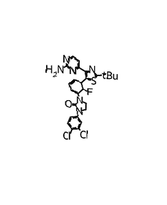 CC(C)(C)c1nc(-c2ccnc(N)n2)c(C2C=CC=C(N3CCN(c4ccc(Cl)c(Cl)c4)C3=O)C2F)s1